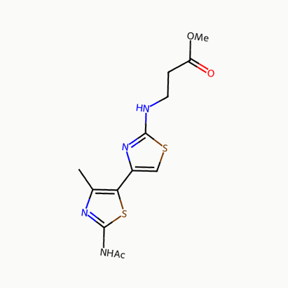 COC(=O)CCNc1nc(-c2sc(NC(C)=O)nc2C)cs1